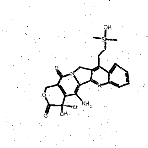 CC[C@@]1(O)C(=O)OCc2c1c(N)c1n(c2=O)Cc2c-1nc1ccccc1c2CC[Si](C)(C)O